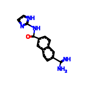 N=C(N)c1ccc2cc(C(=O)Nc3ncc[nH]3)ccc2c1